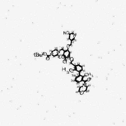 Cc1c(COc2cc(OCc3cncc(C#N)c3)c(CN3CCN(C(=O)OC(C)(C)C)C[C@H]3C(=O)O)cc2Cl)cccc1-c1cccc(C(=O)N2CCOCC2)c1C